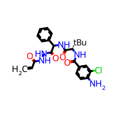 C=CC(=O)NNC(=O)C(NC(=O)[C@@H](NC(=O)c1ccc(N)c(Cl)c1)C(C)(C)C)c1ccccc1